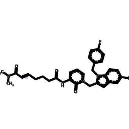 CN(C)C(=O)/C=C/CC[CH]C(=O)Nc1cccn(Cc2cc3cc(F)ccc3n2Cc2ccc(F)cc2)c1=O